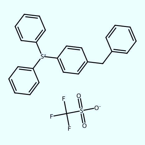 O=S(=O)([O-])C(F)(F)F.c1ccc(Cc2ccc([S+](c3ccccc3)c3ccccc3)cc2)cc1